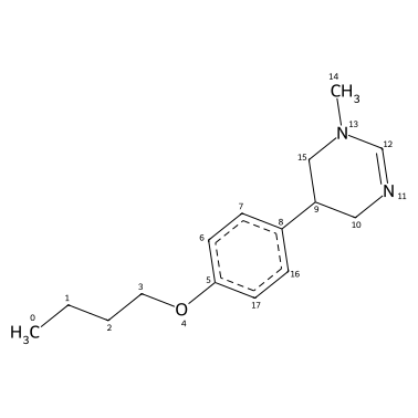 CCCCOc1ccc(C2CN=CN(C)C2)cc1